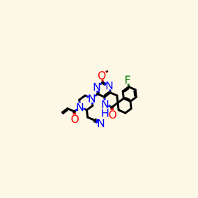 C=CC(=O)N1CCN(c2nc(OC)nc3c2NC(=O)C2(CCCc4ccc(F)cc42)C3)CC1CC#N